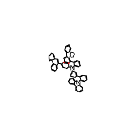 C1=CC(N(c2cccc(-c3ccccc3-n3c4ccccc4c4ccccc43)c2)c2ccccc2-c2cccc3c2oc2ccccc23)CC=C1c1cc2ccccc2c2ccccc12